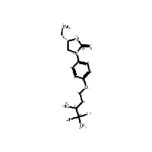 COC[C@H]1CN(c2ccc(OCCC(O)C(F)(F)C(F)(F)F)cc2)C(=O)O1